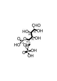 O=C[C@H](O)[C@H](O)[C@@H](O)[C@H](COP(=O)(O)O)OP(=O)(O)O